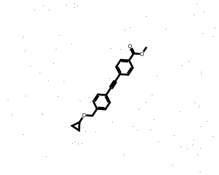 COC(=O)c1ccc(C#Cc2ccc(COC3CC3)cc2)cc1